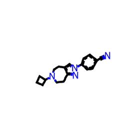 N#Cc1ccc(-n2cc3c(n2)CCN(C2CCC2)CC3)cc1